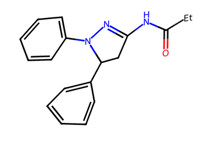 CCC(=O)NC1=NN(c2ccccc2)C(c2ccccc2)C1